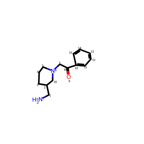 NCC1CCCN(CC(=O)c2ccccc2)C1